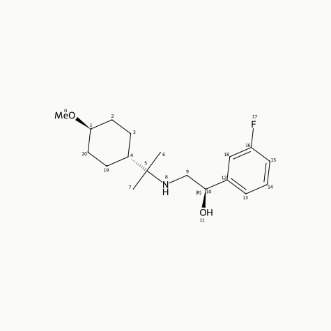 CO[C@H]1CC[C@H](C(C)(C)NC[C@H](O)c2cccc(F)c2)CC1